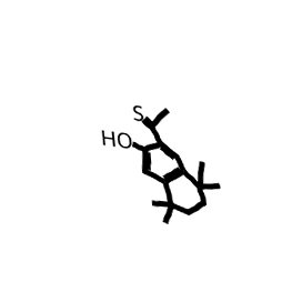 CC(=S)c1cc2c(cc1O)C(C)(C)CCC2(C)C